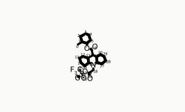 Cc1ccccc1OC(=O)C1c2ccccc2N(CC(=O)OS(=O)(=O)C(F)(F)F)c2ccccc21